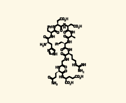 CC(C)C[C@H](NC(=O)[C@H](C)NC(=O)[C@H](CC(=O)O)NC(=O)[C@H](CC(=O)O)NC(=O)[C@H](CC(C)C)NC(=O)[C@@H](N)Cc1c[nH]cn1)C(=O)N[C@@H](CCCNC(=N)N)C(=O)NCC(=O)N[C@@H](CCC(N)=O)C(=O)N[C@@H](CCC(=O)O)C(=O)O